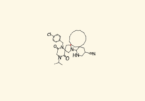 CC(C)N1CC(=O)N(Cc2ccc(Cl)cc2)C2(CCN(C3NCC(C#N)CC34CCCCCCCCCCC4)C2)C1=O